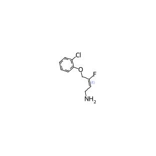 NC/C=C(/F)COc1ccccc1Cl